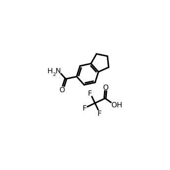 NC(=O)c1ccc2c(c1)CCC2.O=C(O)C(F)(F)F